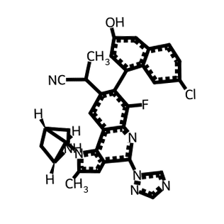 Cc1cc2c(-n3cncn3)nc3c(F)c(-c4cc(O)cc5ccc(Cl)cc45)c(C(C)C#N)cc3c2n1[C@H]1[C@H]2CN[C@@H]1C2